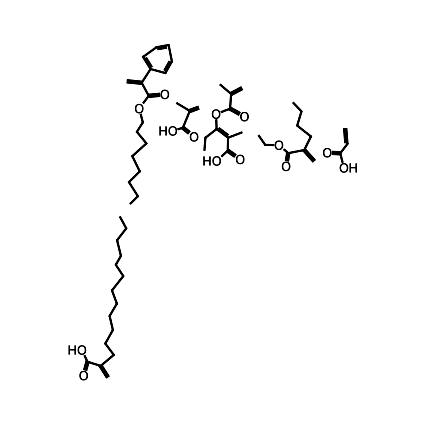 C=C(C(=O)OCCCCCCCC)c1ccccc1.C=C(C)C(=O)O.C=C(C)C(=O)OC(CC)=C(C)C(=O)O.C=C(CCCC)C(=O)OCC.C=C(CCCCCCCCCCCC)C(=O)O.C=CC(=O)O